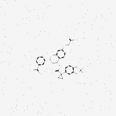 O=C(O)COc1ccc2c(c1)O[C@@H](c1cccc(C(=O)O)c1)C[C@H]2NC(=O)C1(c2ccc3c(c2)OC(F)(F)O3)CC1